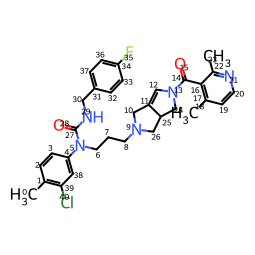 Cc1ccc(N(CCCN2CC3=CN(C(=O)c4c(C)ccnc4C)CC3C2)C(=O)NCc2ccc(F)cc2)cc1Cl